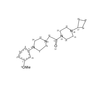 COc1cccc(N2CCN(CC(=O)N3CCN(C4CCC4)CC3)CC2)c1